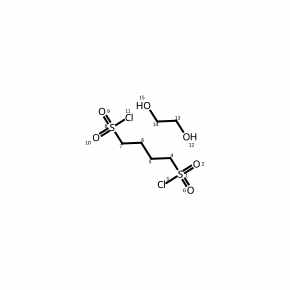 O=S(=O)(Cl)CCCCS(=O)(=O)Cl.OCCO